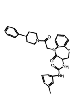 Cc1cccc(NC(=O)NC2CSc3ccccc3N(CC(=O)N3CCC(c4ccccc4)CC3)C2=O)c1